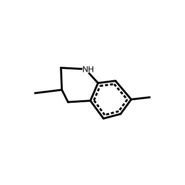 Cc1ccc2c(c1)NCC(C)C2